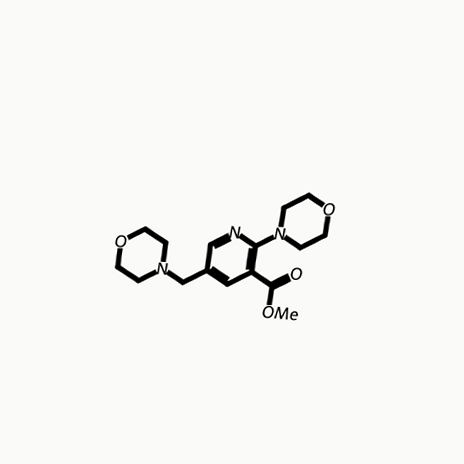 COC(=O)c1cc(CN2CCOCC2)cnc1N1CCOCC1